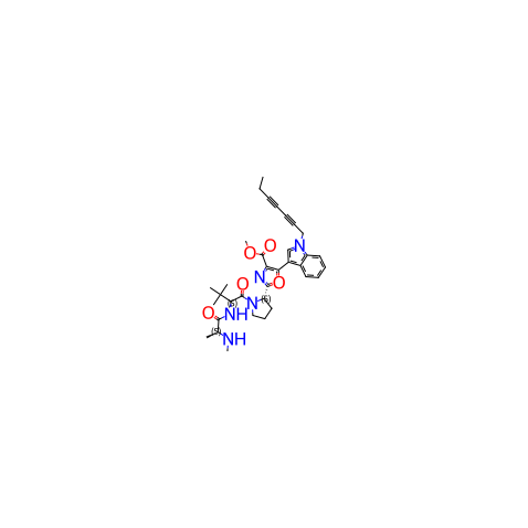 CCC#CC#CCn1cc(-c2oc([C@@H]3CCCN3C(=O)[C@@H](NC(=O)[C@H](C)NC)C(C)(C)C)nc2C(=O)OC)c2ccccc21